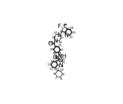 C/C=N\c1c(C2CCCCC2)cccc1S(=O)(=O)Nc1ccc(C(=O)N2CCN(Cc3ncccc3C(F)(F)F)CC2)cc1